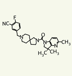 Cc1ccc2c(n1)C(C)(C)CN2C(=O)N1CCC2(CCN(Cc3ccc(F)c(C#N)c3)CC2)C1